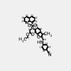 CCOC(=O)CN(c1ccc2c(C)c(CNc3ccc(C#N)cc3)oc2c1)S(=O)(=O)c1cccc2cccnc12